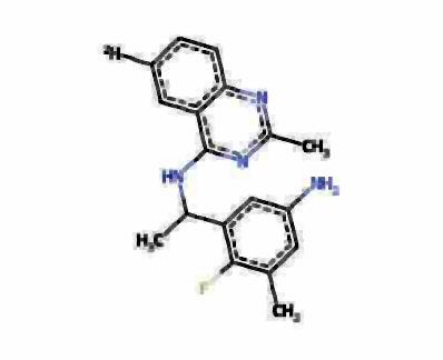 [2H]c1ccc2nc(C)nc(NC(C)c3cc(N)cc(C)c3F)c2c1